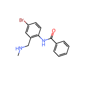 CNCc1cc(Br)ccc1NC(=O)c1ccccc1